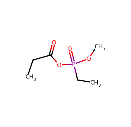 CCC(=O)OP(=O)(CC)OC